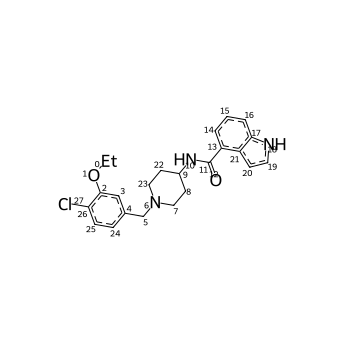 CCOc1cc(CN2CCC(NC(=O)c3cccc4[nH]ccc34)CC2)ccc1Cl